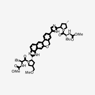 CCC(C)C(NC(=O)OC)C(=O)N1CC(COC)C[C@H]1c1nc2ccc3cc4c(cc3c2[nH]1)OCc1cc(-c2cnc(C3C[C@H](C)CN3C(=O)[C@@H](NC(=O)OC)[C@@H](C)CC)[nH]2)ccc1-4